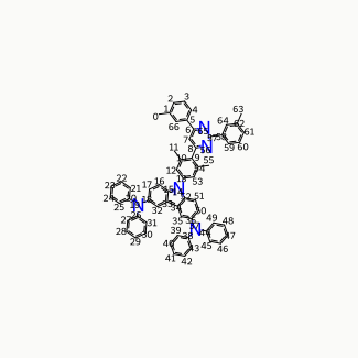 Cc1cccc(-c2cc(-c3c(C)cc(-n4c5ccc(N(c6ccccc6)c6ccccc6)cc5c5cc(N(c6ccccc6)c6ccccc6)ccc54)cc3C)nc(-c3cccc(C)c3)n2)c1